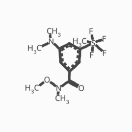 CON(C)C(=O)c1cc(N(C)C)cc(S(C)(F)(F)(F)F)c1